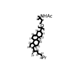 CC(=O)NC(C)(C)CCOC(C)(C)C1CC[C@@]2(C)C(=CCC3C2CC[C@@]2(C)C3CC[C@@H]2[C@H](C)CCCC(C)C)C1